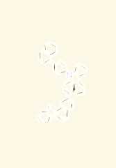 c1ccc(-c2ccccc2N(c2ccc(-c3ccc4ccc5c6ccccc6oc5c4c3)cc2)c2ccc(-c3cccc4ccccc34)cc2)cc1